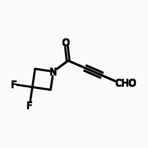 O=CC#CC(=O)N1CC(F)(F)C1